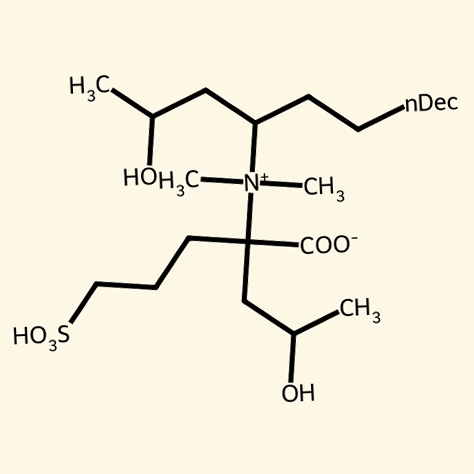 CCCCCCCCCCCCC(CC(C)O)[N+](C)(C)C(CCCS(=O)(=O)O)(CC(C)O)C(=O)[O-]